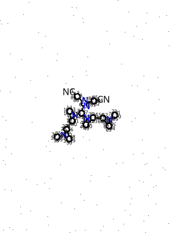 N#Cc1ccc(-c2cc(-c3cc(-n4c5ccccc5c5cc(-c6ccc7c(c6)c6ccccc6n7-c6ccccc6)ccc54)cc(-n4c5ccccc5c5cc(-c6ccc7c(c6)c6ccccc6n7-c6ccccc6)ccc54)c3)nc(-c3ccc(C#N)cc3)n2)cc1